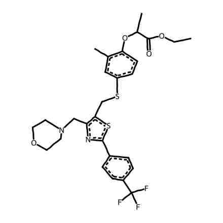 CCOC(=O)C(C)Oc1ccc(SCc2sc(-c3ccc(C(F)(F)F)cc3)nc2CN2CCOCC2)cc1C